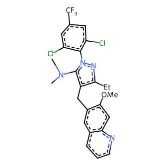 CCc1nn(-c2c(Cl)cc(C(F)(F)F)cc2Cl)c(N(C)C)c1Cc1cc2cccnc2cc1OC